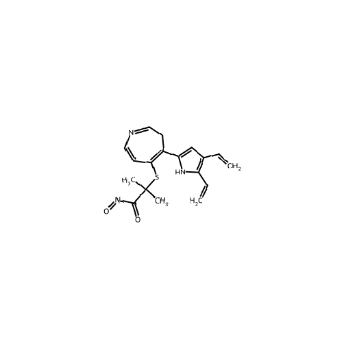 C=Cc1cc(C2=C(SC(C)(C)C(=O)N=O)C=CN=CC2)[nH]c1C=C